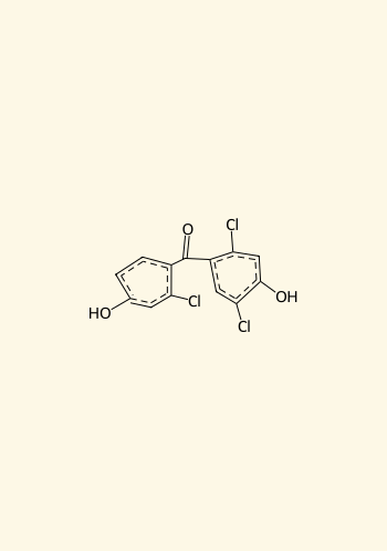 O=C(c1ccc(O)cc1Cl)c1cc(Cl)c(O)cc1Cl